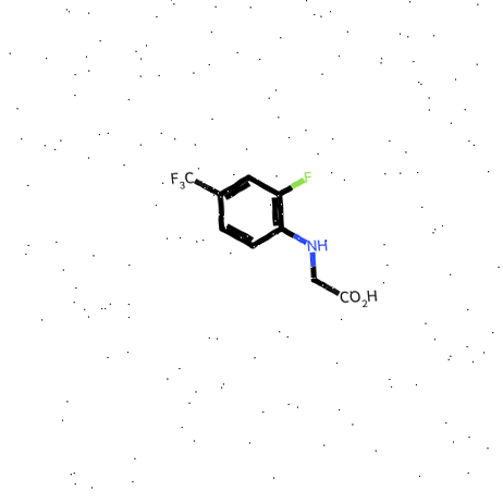 O=C(O)CNc1ccc(C(F)(F)F)cc1F